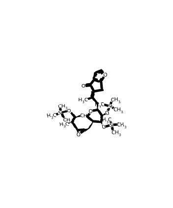 C/C(C[C@@H]1OC[C@H](C[C@@H]2O[C@H]2[C@H](C)[C@H](C)O[Si](C)(C)C)[C@@H](O[Si](C)(C)C)[C@@H]1O[Si](C)(C)C)=C1/Cc2occc2C1=O